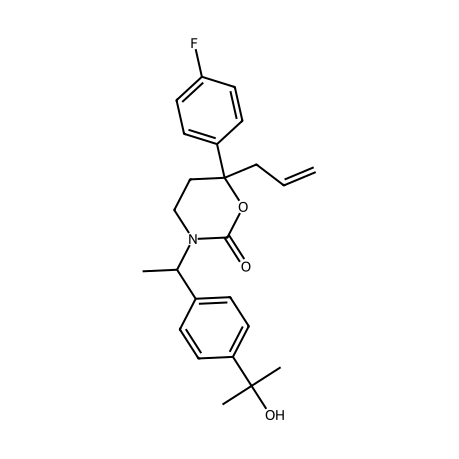 C=CCC1(c2ccc(F)cc2)CCN(C(C)c2ccc(C(C)(C)O)cc2)C(=O)O1